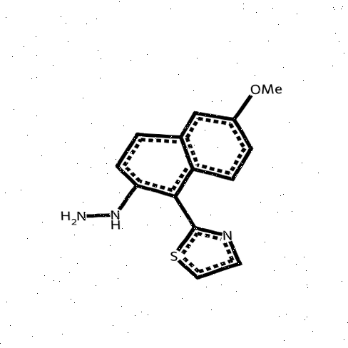 COc1ccc2c(-c3nccs3)c(NN)ccc2c1